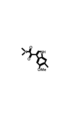 COc1cc2c(C(=O)C(=O)N(C)C)c[nH]c2cc1C